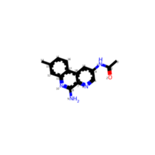 CC(=O)Nc1cnc2c(N)nc3cc(C)ccc3c2c1